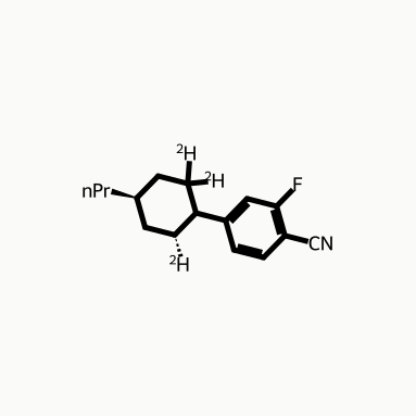 [2H][C@@H]1C[C@@H](CCC)CC([2H])([2H])C1c1ccc(C#N)c(F)c1